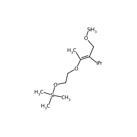 CC(OCCO[Si](C)(C)C)=C(CO[SiH3])C(C)C